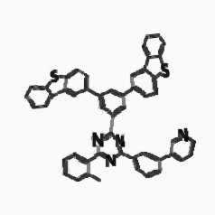 Cc1ccccc1-c1nc(-c2cccc(-c3cccnc3)c2)nc(-c2cc(-c3ccc4sc5ccccc5c4c3)cc(-c3ccc4sc5ccccc5c4c3)c2)n1